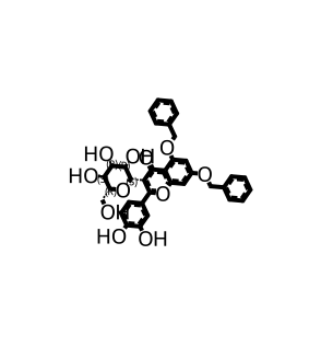 O=c1c([C@@H]2O[C@H](CO)[C@@H](O)[C@H](O)[C@H]2O)c(-c2ccc(O)c(O)c2)oc2cc(OCc3ccccc3)cc(OCc3ccccc3)c12